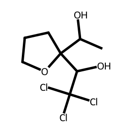 CC(O)C1(C(O)C(Cl)(Cl)Cl)CCCO1